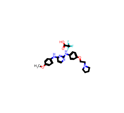 COc1ccc(Nc2ccnc(Nc3ccc(OCCN4CCCC4)cc3)n2)cc1.O=C(O)C(F)(F)F